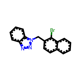 Brc1c(Cn2nnc3ccccc32)ccc2ccccc12